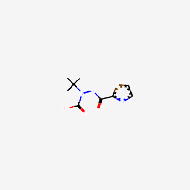 CC(C)(C)N(NC(=O)c1nccs1)C(=O)O